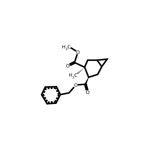 COC(=O)[C@@]1(C)CC2CC2C[C@H]1C(=O)OCc1ccccc1